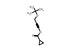 CC(C)(C)OCC#COC(=O)C1CC1